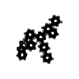 Cc1oc2ccccc2c1-c1cccc2c1Cc1cccc(-c3cc(-c4ccc(-c5ccccc5)cc4)nc(-c4ccc(-c5ccccc5)c5ccccc45)n3)c1-2